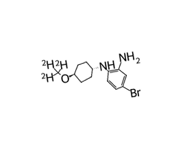 [2H]C([2H])([2H])O[C@H]1CC[C@H](Nc2ccc(Br)cc2N)CC1